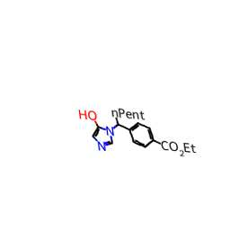 CCCCCC(c1ccc(C(=O)OCC)cc1)n1cncc1O